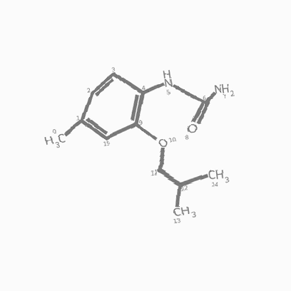 Cc1ccc(NC(N)=O)c(OCC(C)C)c1